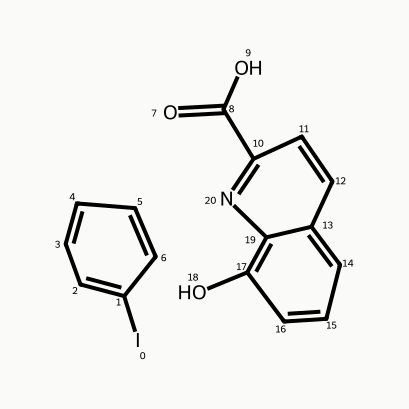 Ic1ccccc1.O=C(O)c1ccc2cccc(O)c2n1